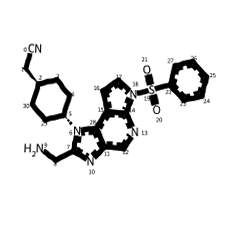 N#CC[C@H]1CC[C@H](n2c(CN)nc3cnc4c(ccn4S(=O)(=O)c4ccccc4)c32)CC1